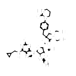 C#C[C@@]1(OC(C)=O)[C@@H](COC(Cc2ccc(N3CCCNC3=O)cc2)(C(=O)OCC)C(=O)OCC)O[C@@H](n2cnc3c(NCC4CC4)nc(Cl)nc32)[C@@H]1OC(C)=O